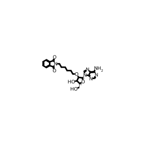 Nc1ncnc2c1ncn2[C@@H]1O[C@H](CO)C(O)C1OCCCCCCN1C(=O)c2ccccc2C1=O